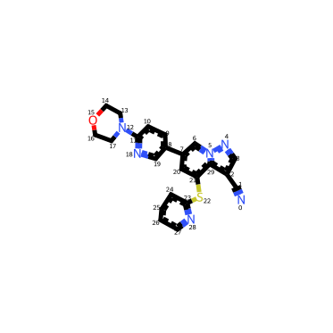 N#Cc1cnn2cc(-c3ccc(N4CCOCC4)nc3)cc(Sc3ccccn3)c12